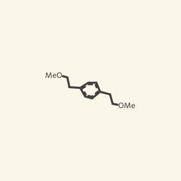 COCCc1ccc(CCOC)cc1